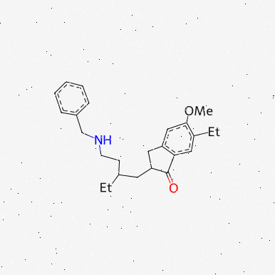 CCc1cc2c(cc1OC)CC(CC(CC)CCNCc1ccccc1)C2=O